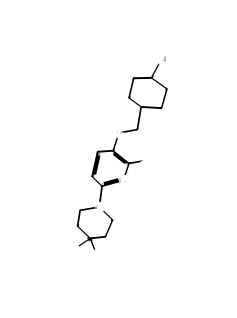 Cc1nc(N2CCC(C)(C)CC2)ccc1NCC1CCC(N)CC1